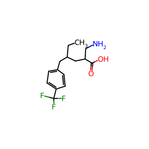 CCC(Cc1ccc(C(F)(F)F)cc1)CC(CN)C(=O)O